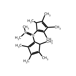 CC1=C(C)C(C)[C]([Ti]([C]2=C(C)C(C)=C(C)C2C)=[Si](C)C)=C1C